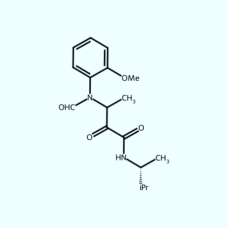 COc1ccccc1N(C=O)C(C)C(=O)C(=O)N[C@H](C)C(C)C